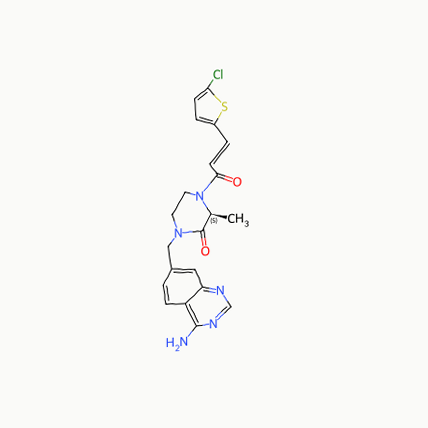 C[C@H]1C(=O)N(Cc2ccc3c(N)ncnc3c2)CCN1C(=O)C=Cc1ccc(Cl)s1